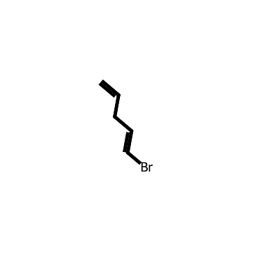 C=CCC=CBr